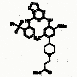 CNC(=O)CCN1CCC(c2cc(OC)c(Nc3nc(Nc4ccccc4S(=O)(=O)C(C)C)n4nccc4n3)cc2C)CC1